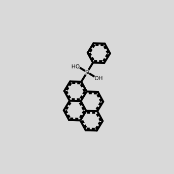 O[Si](O)(c1ccccc1)c1ccc2ccc3cccc4ccc1c2c34